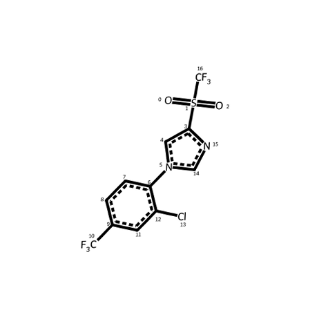 O=S(=O)(c1cn(-c2ccc(C(F)(F)F)cc2Cl)cn1)C(F)(F)F